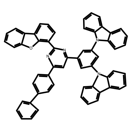 c1ccc(-c2ccc(-c3cc(-c4cc(-n5c6ccccc6c6ccccc65)cc(-n5c6ccccc6c6ccccc65)c4)nc(-c4cccc5c4oc4ccccc45)n3)cc2)cc1